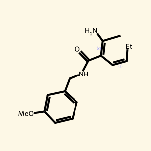 CC/C=C\C(C(=O)NCc1cccc(OC)c1)=C(/C)N